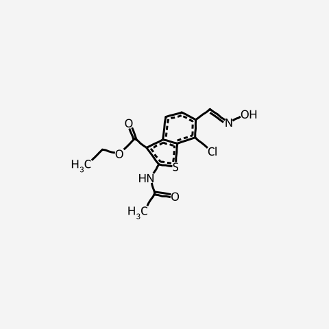 CCOC(=O)c1c(NC(C)=O)sc2c(Cl)c(C=NO)ccc12